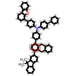 CC1(C)c2ccccc2-c2ccc(-c3ccc(-c4ccc(N(c5ccc(-c6ccccc6)cc5)c5ccc(-c6cccc7c6oc6ccccc67)cc5)cc4)c4c3C3c5ccccc5C4c4ccccc43)cc21